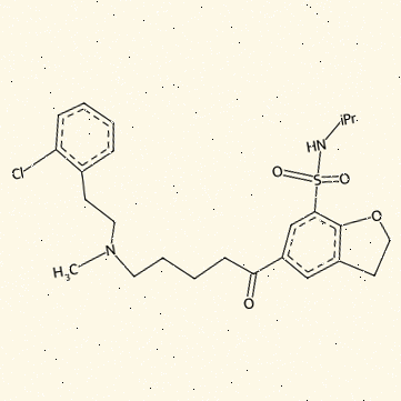 CC(C)NS(=O)(=O)c1cc(C(=O)CCCCN(C)CCc2ccccc2Cl)cc2c1OCC2